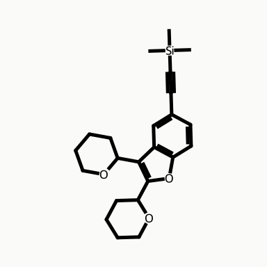 C[Si](C)(C)C#Cc1ccc2oc(C3CCCCO3)c(C3CCCCO3)c2c1